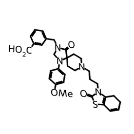 COc1ccc(N2CN(Cc3cccc(C(=O)O)c3)C(=O)C23CCN(CCCn2c4c(sc2=O)C=CCC4)CC3)cc1